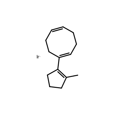 CC1=C(C2=CCCC=CCC2)CCC1.[Ir]